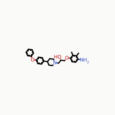 Cc1c(N)ccc(OC[C@@H](O)CN2CCC(c3ccc(Oc4ccccc4)cc3)CC2)c1C